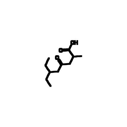 CCC(CC)CC(=O)CC(C)C(=O)O